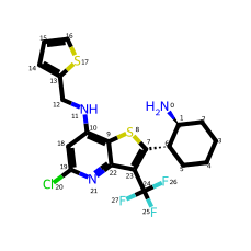 N[C@H]1CCCC[C@@H]1c1sc2c(NCc3cccs3)cc(Cl)nc2c1C(F)(F)F